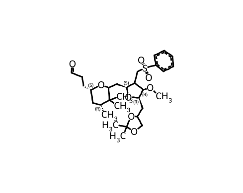 CO[C@@H]1C(CS(=O)(=O)c2ccccc2)[C@H](CC2O[C@@H](CCC=O)C[C@@H](C)C2(C)C)O[C@@H]1CC1COC(C)(C)O1